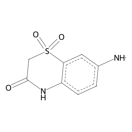 [NH]c1ccc2c(c1)S(=O)(=O)CC(=O)N2